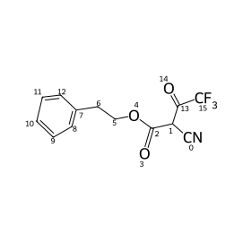 N#CC(C(=O)OCCc1ccccc1)C(=O)C(F)(F)F